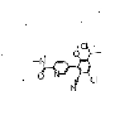 COc1c(C(C)Cl)cc(Cl)c(C#N)c1-c1ccc(C(=O)N(C)C)nc1